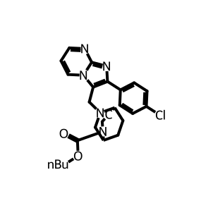 CCCCOC(=O)N1CCC2CCC1CN2Cc1c(-c2ccc(Cl)cc2)nc2ncccn12